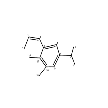 C/C=C\c1cc(C(C)C)cc(C)c1C